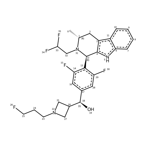 C[C@@H]1Cc2c([nH]c3ccccc23)[C@@H](c2c(F)cc([C@@H](O)C3CN(CCCF)C3)cc2F)N1CC(F)F